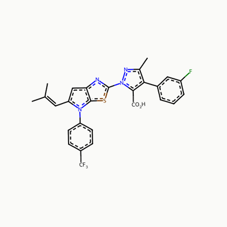 CC(C)=Cc1cc2nc(-n3nc(C)c(-c4cccc(F)c4)c3C(=O)O)sc2n1-c1ccc(C(F)(F)F)cc1